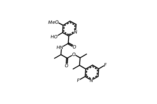 COc1ccnc(C(=O)NC(C)C(=O)OC(C)C(C)c2cc(F)cnc2F)c1O